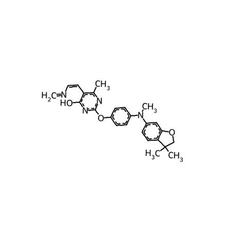 C=N/C=C\c1c(C)nc(Oc2ccc(N(C)c3ccc4c(c3)OCC4(C)C)cc2)nc1O